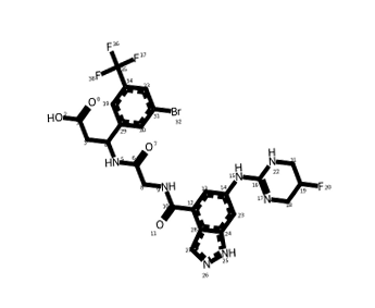 O=C(O)CC(NC(=O)CNC(=O)c1cc(NC2=NCC(F)CN2)cc2[nH]ncc12)c1cc(Br)cc(C(F)(F)F)c1